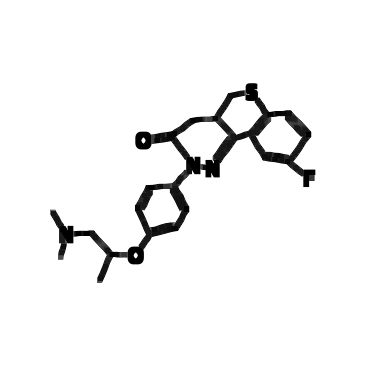 CC(CN(C)C)Oc1ccc(N2N=C3c4cc(F)ccc4SCC3CC2=O)cc1